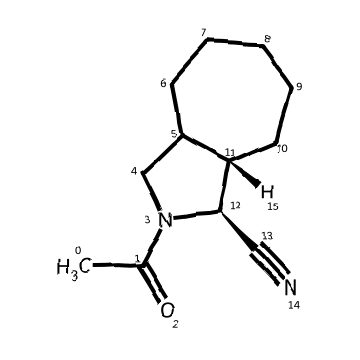 CC(=O)N1CC2CCCCC[C@@H]2[C@H]1C#N